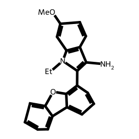 CCn1c(-c2cccc3c2oc2ccccc23)c(N)c2ccc(OC)cc21